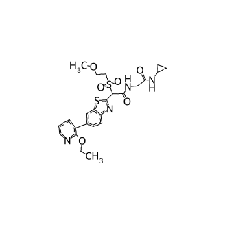 CCOc1ncccc1-c1ccc2nc(C(C(=O)NCC(=O)NC3CC3)S(=O)(=O)CCOC)sc2c1